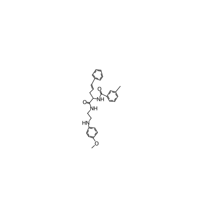 COc1ccc(NCCNC(=O)C(CC=Cc2ccccc2)NC(=O)c2cccc(C)c2)cc1